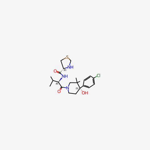 CC(C)[C@@H](NC(=O)[C@@H]1CSCN1)C(=O)N1CC[C@](O)(c2ccc(Cl)cc2)C(C)(C)C1